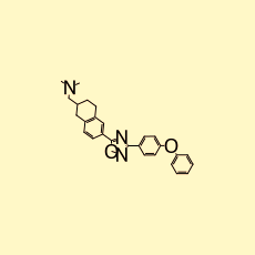 CN(C)CC1CCc2cc(-c3nc(-c4ccc(Oc5ccccc5)cc4)no3)ccc2C1